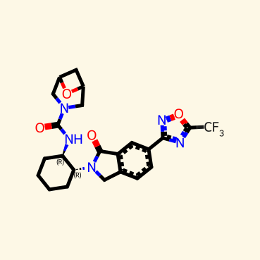 O=C(N[C@@H]1CCCC[C@H]1N1Cc2ccc(-c3noc(C(F)(F)F)n3)cc2C1=O)N1CC2CC(C1)O2